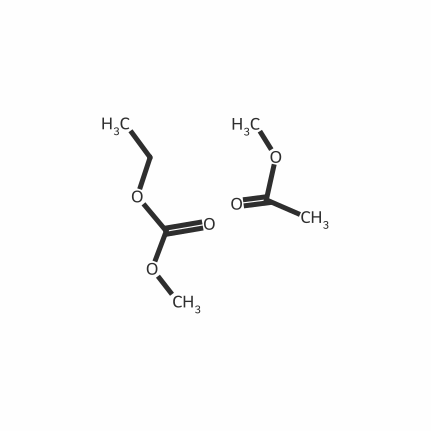 CCOC(=O)OC.COC(C)=O